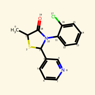 CC1SC(c2cccnc2)N(c2ccccc2Cl)C1=O